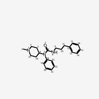 CN1CCC(N(C(=O)NCCCc2ccccc2)c2ccccc2)CC1